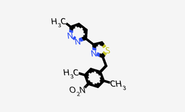 Cc1ccc(-c2csc(Cc3cc(C)c([N+](=O)[O-])cc3C)n2)nn1